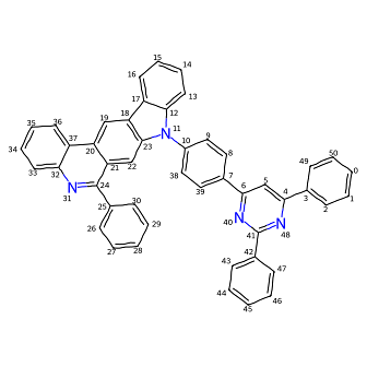 c1ccc(-c2cc(-c3ccc(-n4c5ccccc5c5cc6c(cc54)c(-c4ccccc4)nc4ccccc46)cc3)nc(-c3ccccc3)n2)cc1